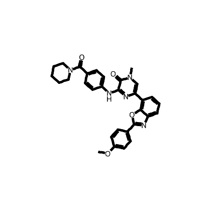 COc1ccc(-c2nc3cccc(-c4cn(C)c(=O)c(Nc5ccc(C(=O)N6CCCCC6)cc5)n4)c3o2)cc1